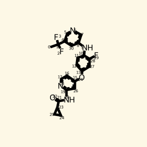 CC(F)(F)c1cncc(Nc2ccc(Oc3ccnc(NC(=O)C4CC4)c3)cc2F)c1